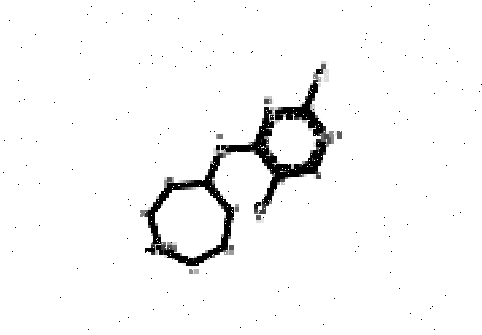 Clc1ncc(Cl)c(OC2CCCNCC2)n1